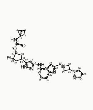 O=C(NC12CC(C1)C2)O[C@H]1C[C@@H](c2cc(Nc3nccc4nc(CN5CC(n6cccn6)C5)cn34)n[nH]2)C[C@H]1F